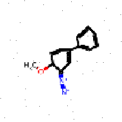 COC1C=CC(c2ccccc2)=CC1=[N+]=[N-]